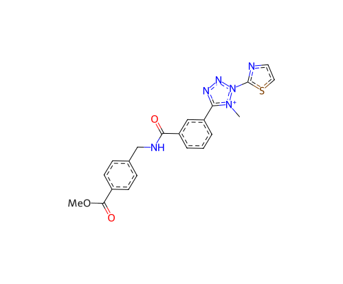 COC(=O)c1ccc(CNC(=O)c2cccc(-c3nnn(-c4nccs4)[n+]3C)c2)cc1